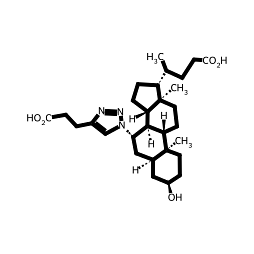 CC(CCC(=O)O)[C@H]1CC[C@H]2[C@@H]3[C@@H](n4cc(CCC(=O)O)nn4)C[C@@H]4C[C@H](O)CC[C@]4(C)[C@H]3CC[C@]12C